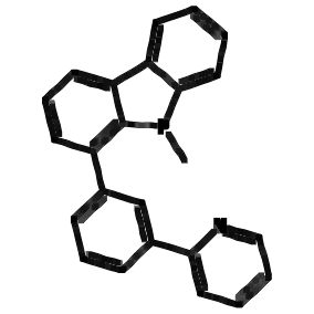 Cp1c2ccccc2c2cccc(-c3cccc(-c4ccccn4)c3)c21